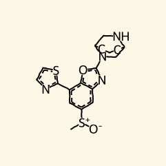 C[S+]([O-])c1cc(-c2nccs2)c2oc(N3CC4CCCC3CN4)nc2c1